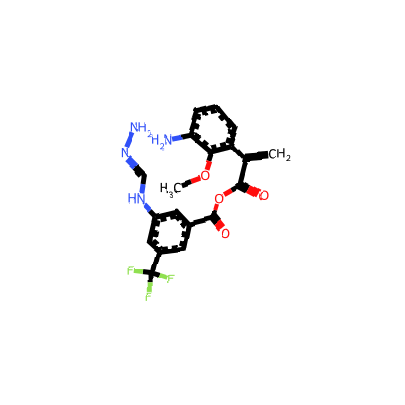 C=C(C(=O)OC(=O)c1cc(NC=NN)cc(C(F)(F)F)c1)c1cccc(N)c1OC